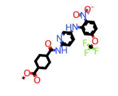 COC(=O)C1CCC(C(=O)Nc2ccc(Nc3cc(OC(F)(F)F)ccc3[N+](=O)[O-])cn2)CC1